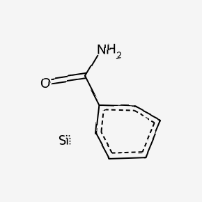 NC(=O)c1ccccc1.[Si]